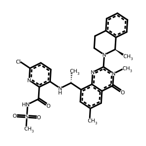 Cc1cc([C@@H](C)Nc2ccc(Cl)nc2C(=O)NS(C)(=O)=O)c2nc(N3CCc4ccccc4[C@H]3C)n(C)c(=O)c2c1